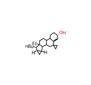 CCCC[C@@H]1[C@H]2C[C@H]2C2C3CC4(CC4)C4=C[C@@H](O)CCC4C3CCC21CC